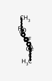 CCCCCCCC(F)C(=O)OC1CCC(c2ccc(C3CCC(OC(=O)C(F)CCCCCCC)CC3)c(F)c2)CC1